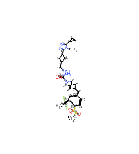 Cn1c(C2CC2)nnc1C1CC(CNC(=O)N2CC3(CC(CC4=CC(C(C)(F)F)C(S(C)(=O)=O)C=C4)C3)C2)C1